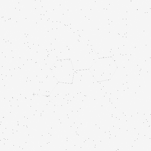 O=C(O)C1CCCN(C2CCCCC2F)C1